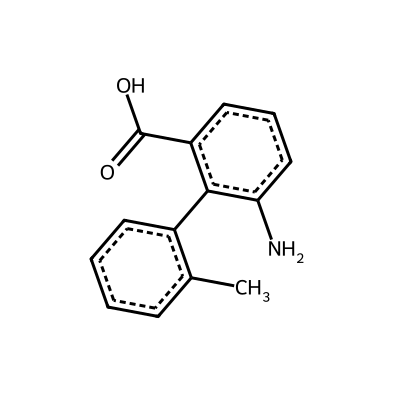 Cc1ccccc1-c1c(N)cccc1C(=O)O